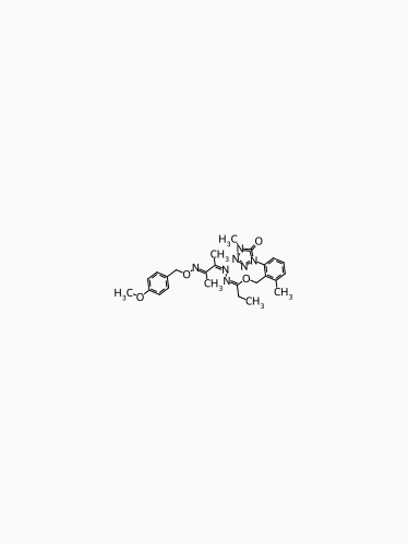 CCC(=N/N=C(C)\C(C)=N\OCc1ccc(OC)cc1)OCc1c(C)cccc1-n1nnn(C)c1=O